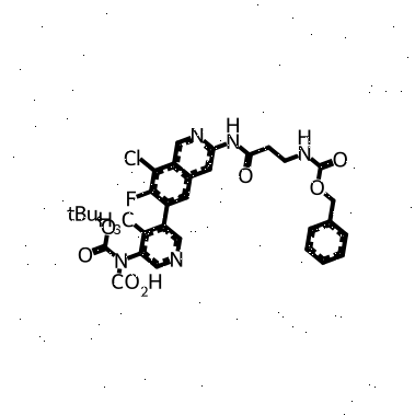 Cc1c(-c2cc3cc(NC(=O)CCNC(=O)OCc4ccccc4)ncc3c(Cl)c2F)cncc1N(C(=O)O)C(=O)OC(C)(C)C